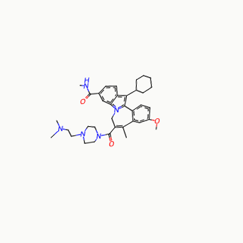 CNC(=O)c1ccc2c(C3CCCCC3)c3n(c2c1)CC(C(=O)N1CCN(CCN(C)C)CC1)=C(C)c1cc(OC)ccc1-3